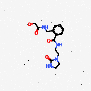 [O]CC(=O)NCc1ccccc1C(=O)NCCN1CCNC1=O